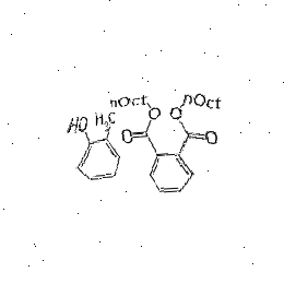 CCCCCCCCOC(=O)c1ccccc1C(=O)OCCCCCCCC.Cc1ccccc1O